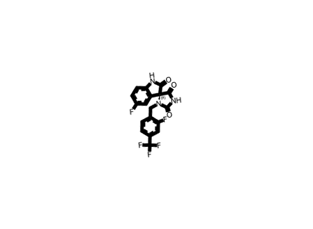 O=C1NC(=O)[C@@]2(C(=O)Nc3ccc(F)cc32)N1Cc1ccc(C(F)(F)F)cc1F